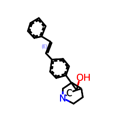 OC1(c2ccc(/C=C/c3ccccc3)cc2)CN2CCC1CC2